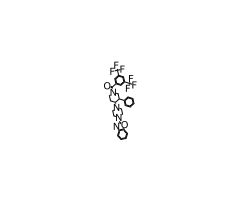 O=C(c1cc(C(F)(F)F)cc(C(F)(F)F)c1)N1CCC(N2CCN(c3nc4ccccc4o3)CC2)C(c2ccccc2)C1